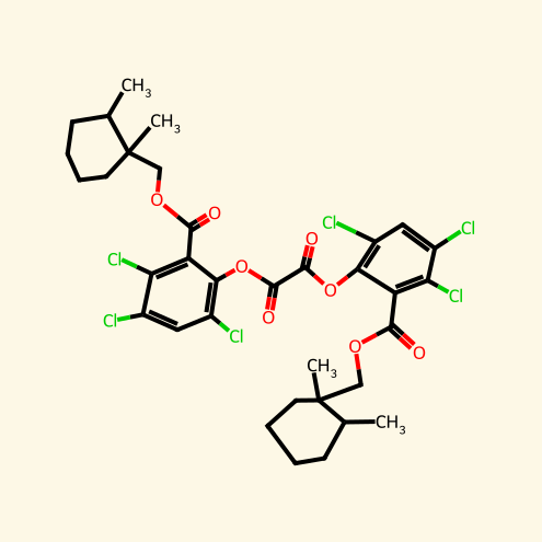 CC1CCCCC1(C)COC(=O)c1c(Cl)c(Cl)cc(Cl)c1OC(=O)C(=O)Oc1c(Cl)cc(Cl)c(Cl)c1C(=O)OCC1(C)CCCCC1C